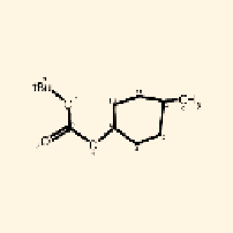 CC1CCC(OC(=O)OC(C)(C)C)CC1